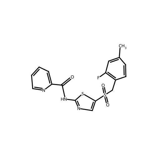 Cc1ccc(CS(=O)(=O)c2cnc(NC(=O)c3ccccn3)s2)c(F)c1